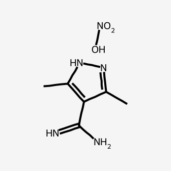 Cc1n[nH]c(C)c1C(=N)N.O=[N+]([O-])O